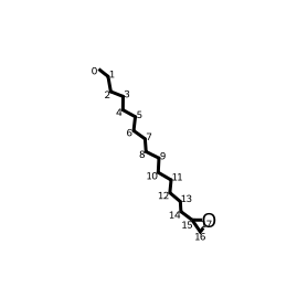 CCCCCCCCCCCCCCCC1CO1